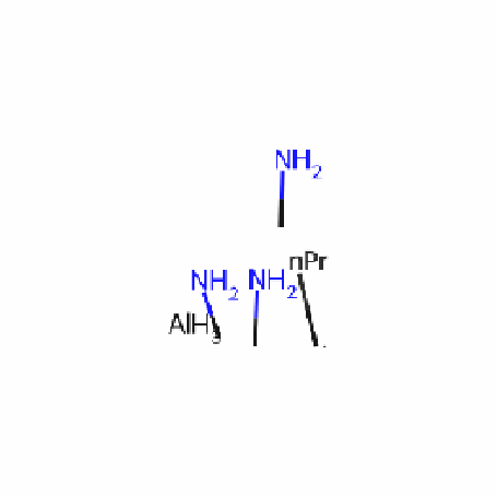 CN.CN.CN.[AlH3].[CH2]CCC